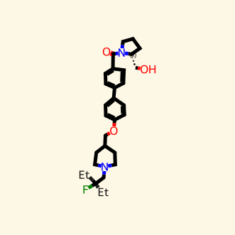 CCC(F)(CC)CN1CCC(COc2ccc(-c3ccc(C(=O)N4CCC[C@@H]4CO)cc3)cc2)CC1